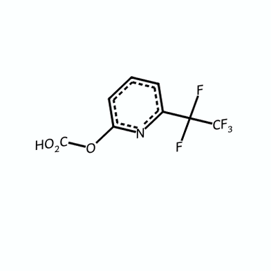 O=C(O)Oc1cccc(C(F)(F)C(F)(F)F)n1